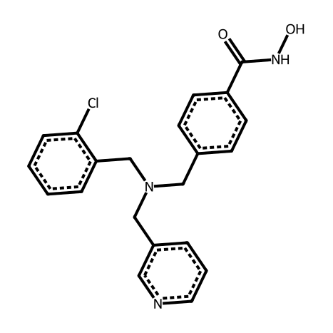 O=C(NO)c1ccc(CN(Cc2cccnc2)Cc2ccccc2Cl)cc1